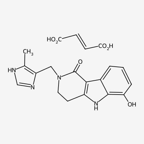 Cc1[nH]cnc1CN1CCc2[nH]c3c(O)cccc3c2C1=O.O=C(O)C=CC(=O)O